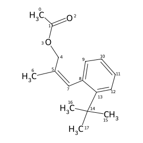 CC(=O)OCC(C)=Cc1ccccc1C(C)(C)C